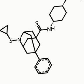 NC[C@H]1CC[C@H](NC(=S)C23CC4CC(c5ccccc5)(CC(C2)N4SC2CC2)C3)CC1